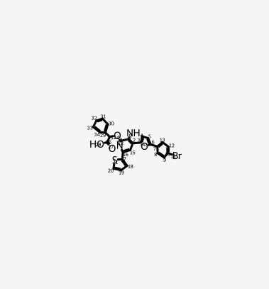 Nc1c(-c2ccc(-c3ccc(Br)cc3)o2)cc(-c2cccs2)nc1OC(C(=O)O)c1ccccc1